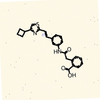 O=C(Cc1ccccc1C(=O)O)Nc1cccc(/C=C/c2nc(C3CCC3)cs2)c1